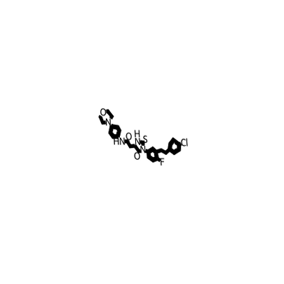 O=C(CC1NC(=S)N(c2ccc(F)c(CCc3ccc(Cl)cc3)c2)C1=O)Nc1ccc(N2CCOCC2)cc1